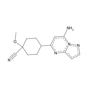 COC1(C#N)CCC(c2cc(N)n3nccc3n2)CC1